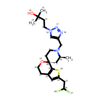 C[C@H]1C[C@@]2(CCN1Cc1cn(CCC(C)(C)O)nn1)OCCc1cc(CC(F)F)sc12